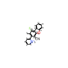 Cc1c(-c2cccc[n+]2C)c(C#N)c2oc3ccccc3c2c1F